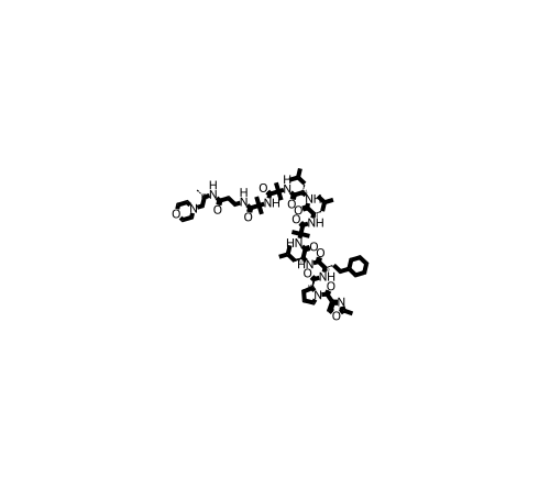 Cc1nc(C(=O)N2CCC[C@H]2C(=O)N[C@@H](CCC2CCCCC2)C(=O)N[C@@H](CC(C)C)C(=O)NC(C)(C)C(=O)N[C@@H](CC(C)C)C(=O)N[C@@H](CC(C)C)C(=O)NC(C)(C)C(=O)NC(C)(C)C(=O)NCCC(=O)N[C@@H](C)CN2CCOCC2)co1